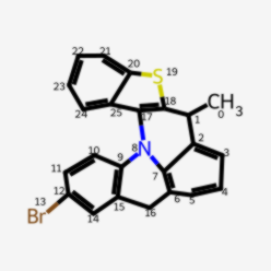 CC1c2cccc3c2N(c2ccc(Br)cc2C3)c2c1sc1ccccc21